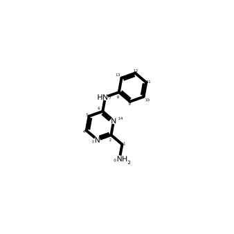 NCc1nccc(Nc2ccccc2)n1